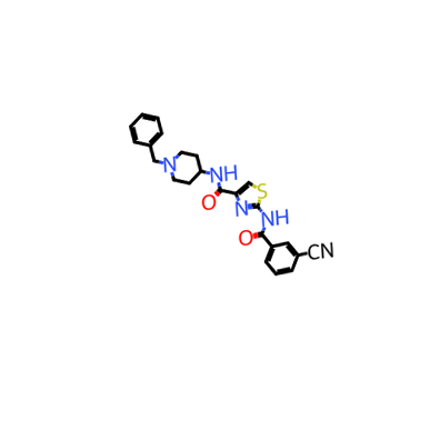 N#Cc1cccc(C(=O)Nc2nc(C(=O)NC3CCN(Cc4ccccc4)CC3)cs2)c1